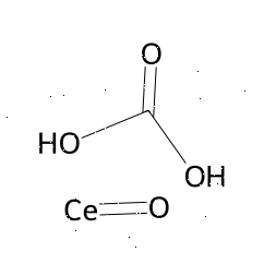 O=C(O)O.[O]=[Ce]